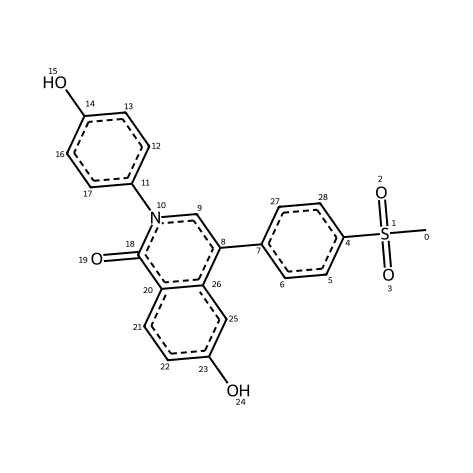 CS(=O)(=O)c1ccc(-c2cn(-c3ccc(O)cc3)c(=O)c3ccc(O)cc23)cc1